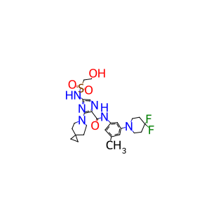 Cc1cc(NC(=O)c2ncc(NS(=O)(=O)CCO)nc2N2CCC3(CC2)CC3)cc(N2CCC(F)(F)CC2)c1